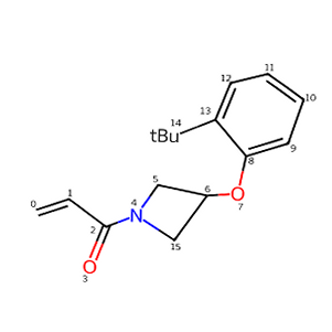 C=CC(=O)N1CC(Oc2ccccc2C(C)(C)C)C1